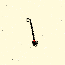 CCC=CCCCCCCCCCCCCCCCCCCCC(CC)(P(=O)=O)[N+](C)(C)C